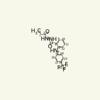 CCC(=O)NNC(=O)c1ccccc1Nc1ccc(C(F)(F)F)cc1